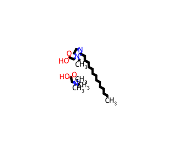 CCCCCCCCCCCCCCC1=NCC[N+]1(CC)CC(=O)O.C[N+](C)(C)CC(=O)O